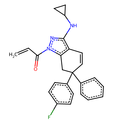 C=CC(=O)n1nc(NC2CC2)c2c1CC(c1ccccc1)(c1ccc(F)cc1)C=C2